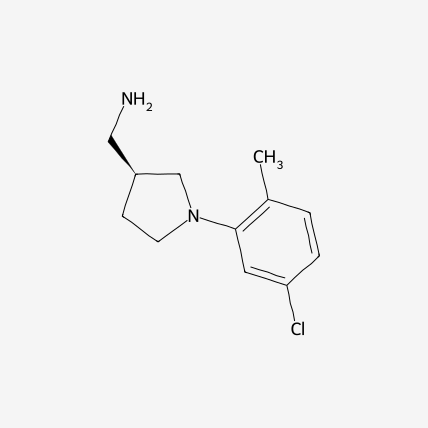 Cc1ccc(Cl)cc1N1CC[C@@H](CN)C1